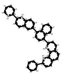 c1ccc(-c2ccc3ccc4ccc(-c5ccc(-c6ccc7nc(-c8ccccn8)ccc7c6)c6ccccc56)nc4c3n2)cc1